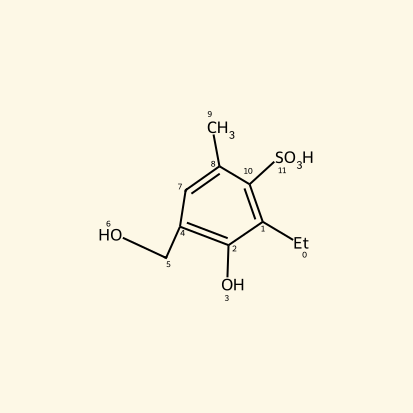 CCc1c(O)c(CO)cc(C)c1S(=O)(=O)O